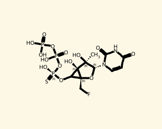 C[C@]1(O)[C@H](n2ccc(=O)[nH]c2=O)O[C@]2(CF)C(O[P@](O)(=S)OP(=O)(O)OP(=O)(O)O)[C@]12O